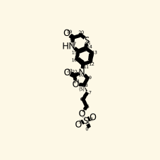 CS(=O)(=O)OCCC[C@H]1CN(c2ccc3c(c2)NC(=O)CS3)C(=O)O1